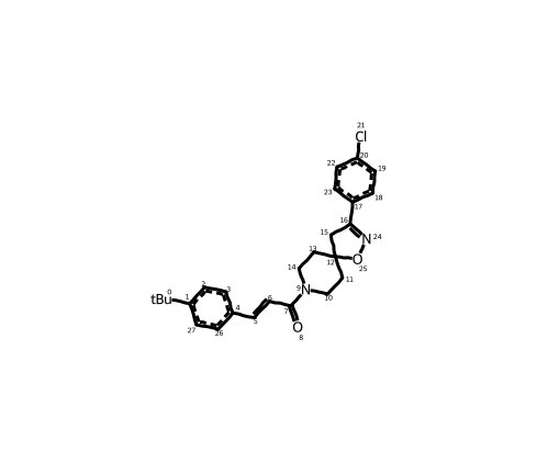 CC(C)(C)c1ccc(C=CC(=O)N2CCC3(CC2)CC(c2ccc(Cl)cc2)=NO3)cc1